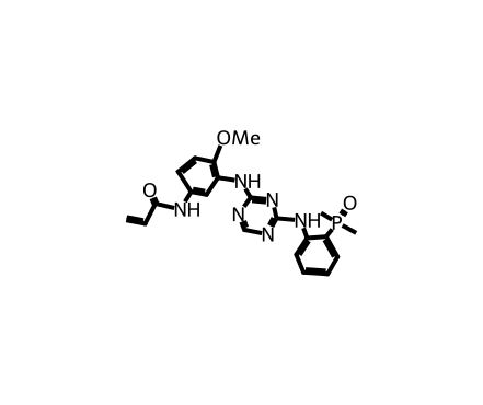 C=CC(=O)Nc1ccc(OC)c(Nc2ncnc(Nc3ccccc3P(C)(C)=O)n2)c1